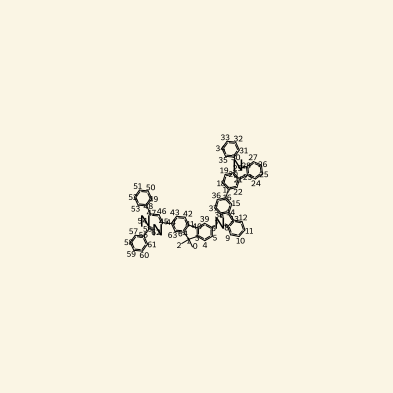 CC1(C)c2ccc(-n3c4ccccc4c4cc(-c5ccc6c(c5)c5ccccc5n6-c5ccccc5)ccc43)cc2-c2ccc(-c3cc(-c4ccccc4)nc(-c4ccccc4)n3)cc21